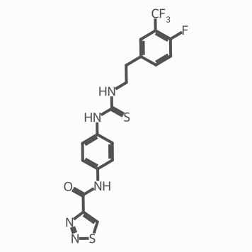 O=C(Nc1ccc(NC(=S)NCCc2ccc(F)c(C(F)(F)F)c2)cc1)c1csnn1